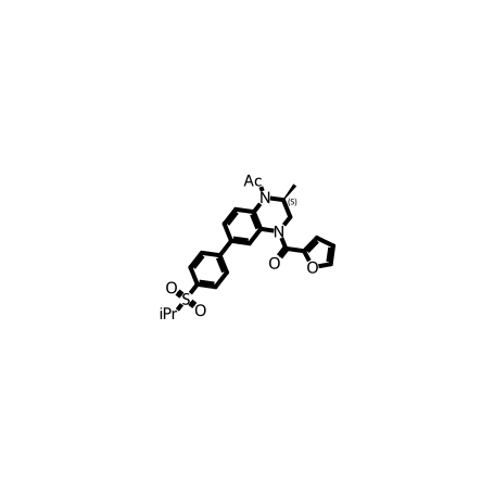 CC(=O)N1c2ccc(-c3ccc(S(=O)(=O)C(C)C)cc3)cc2N(C(=O)c2ccco2)C[C@@H]1C